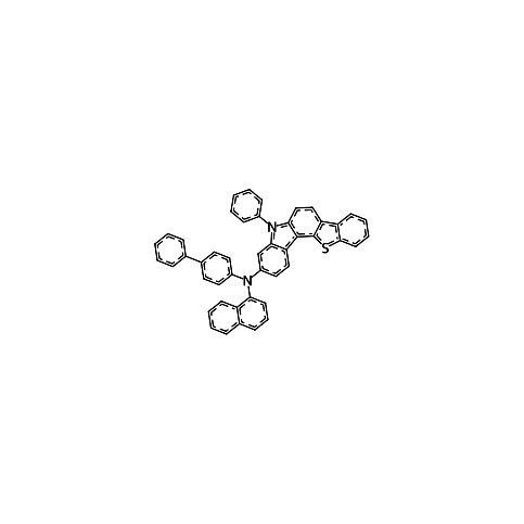 c1ccc(-c2ccc(N(c3ccc4c5c6sc7ccccc7c6ccc5n(-c5ccccc5)c4c3)c3cccc4ccccc34)cc2)cc1